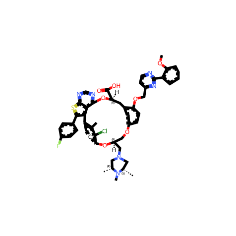 COc1ccccc1-c1nccc(COc2ccc3cc2C[C@H](C(=O)O)Oc2ncnc4sc(-c5ccc(F)cc5)c(c24)-c2ccc(c(Cl)c2C)O[C@H](CN2C[C@@H](C)N(C)[C@@H](C)C2)CO3)n1